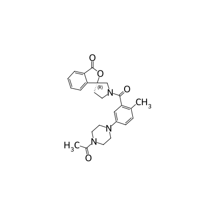 CC(=O)N1CCN(c2ccc(C)c(C(=O)N3CC[C@@]4(C3)OC(=O)c3ccccc34)c2)CC1